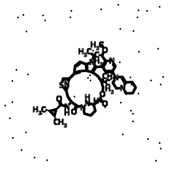 CCn1c(-c2cc(N3C=C4CCCCN4CC3)cnc2[C@H](C)OC)c2c3cc(ccc31)-c1csc(n1)C[C@H](NC(=O)[C@H]1[C@H](C)[C@@H]1C)C(=O)N1CCC[C@H](N1)C(=O)OCC(C)(C)C2